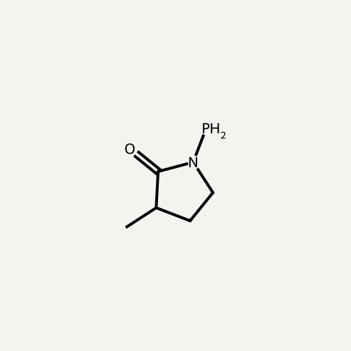 CC1CCN(P)C1=O